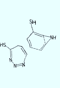 Sc1cccc2c1N2.Sc1ccnnn1